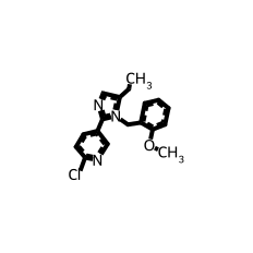 CCc1cnc(-c2ccc(Cl)nc2)n1Cc1ccccc1OC